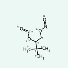 CC(C)(C)C(CON=O)ON=O